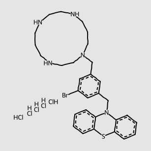 Brc1cc(CN2CCCNCCNCCCNCC2)cc(CN2c3ccccc3Sc3ccccc32)c1.Cl.Cl.Cl.Cl.Cl